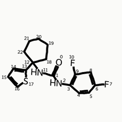 O=C(Nc1ccc(F)cc1F)NC1(c2cccs2)CCCCC1